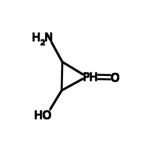 NC1C(O)[PH]1=O